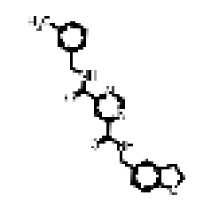 Cc1cccc(CNC(=O)c2cc(C(=O)NCc3ccc4c(c3)CCO4)ncn2)c1